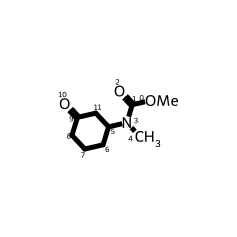 COC(=O)N(C)C1CCCC(=O)C1